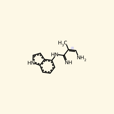 C/C(=C/N)C(=N)Nc1cccc2[nH]ccc12